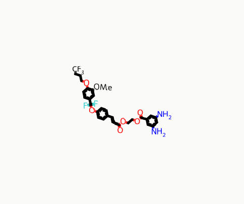 COc1cc(C(F)(F)Oc2ccc(C=CC(=O)OCCOC(=O)c3cc(N)cc(N)c3)cc2)ccc1OCCCC(F)(F)F